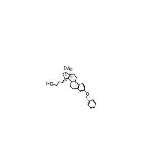 CC(=O)O[C@H]1C[C@H](CCCO)C2C3CCc4cc(OCc5ccccc5)ccc4C3CC[C@@]21C